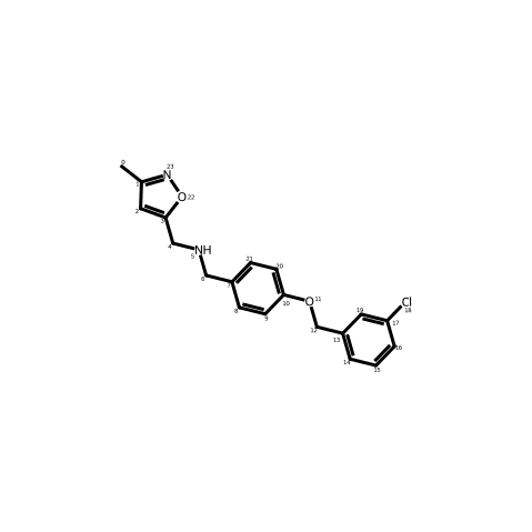 Cc1cc(CNCc2ccc(OCc3cccc(Cl)c3)cc2)on1